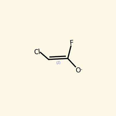 [O]/C(F)=C/Cl